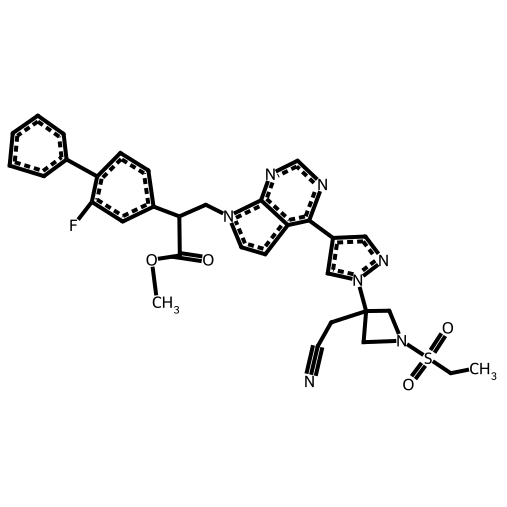 CCS(=O)(=O)N1CC(CC#N)(n2cc(-c3ncnc4c3ccn4CC(C(=O)OC)c3ccc(-c4ccccc4)c(F)c3)cn2)C1